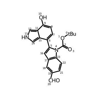 CC(C)(C)OC(=O)n1c(-c2ccc(O)c3c[nH]cc23)cc2cc(C=O)ccc21